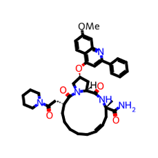 COc1ccc2c(O[C@@H]3C[C@H]4C(=O)N[C@](C)(C(N)=O)C/C=C\CCCCC[C@H](CC(=O)N5CCCCC5)C(=O)N4C3)cc(-c3ccccc3)nc2c1